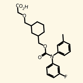 Cc1cccc(N(C(=O)OCC2CCCC(COCC(=O)O)C2)c2cccc(F)c2)c1